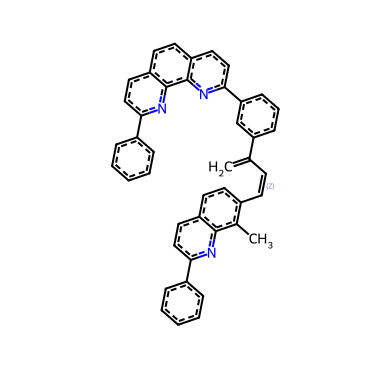 C=C(/C=C\c1ccc2ccc(-c3ccccc3)nc2c1C)c1cccc(-c2ccc3ccc4ccc(-c5ccccc5)nc4c3n2)c1